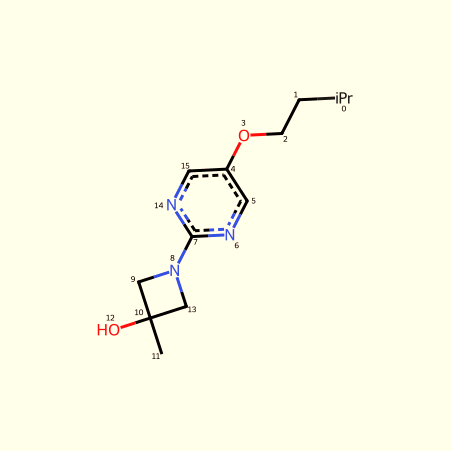 CC(C)CCOc1cnc(N2CC(C)(O)C2)nc1